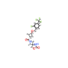 O=C1NC2(CO1)CN(C(=O)[C@H]1C[C@H](OCc3ccc(C(F)(F)F)cc3F)C1)C2